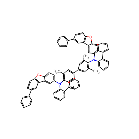 Cc1cc(-c2cc(C)c(N(c3ccc4oc5ccc(-c6ccccc6)cc5c4c3)c3ccccc3-c3ccccc3)c(C)c2)cc(C)c1N(c1ccc2oc3ccc(-c4ccccc4)cc3c2c1)c1ccccc1-c1ccccc1